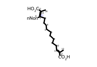 CCCCCCCCC/C(CCCCCCCCCC=C(C)C(=O)O)=C(/C)C(=O)O